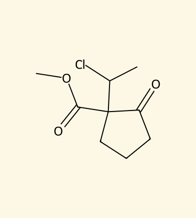 COC(=O)C1(C(C)Cl)CCCC1=O